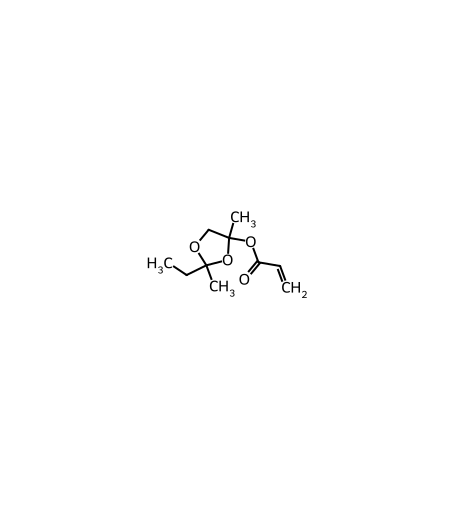 C=CC(=O)OC1(C)COC(C)(CC)O1